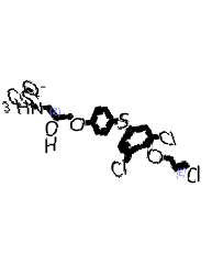 C[S+]([O-])N/C=C(\O)COc1ccc(Sc2cc(Cl)c(OC/C=C/Cl)c(Cl)c2)cc1